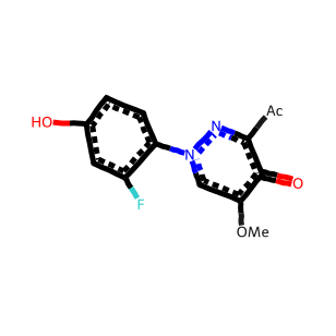 COc1cn(-c2ccc(O)cc2F)nc(C(C)=O)c1=O